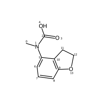 CN(C(=O)O)c1cccc2c1CCO2